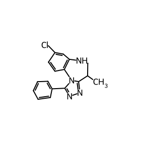 CC1CNc2cc(Cl)ccc2-n2c(-c3ccccc3)nnc21